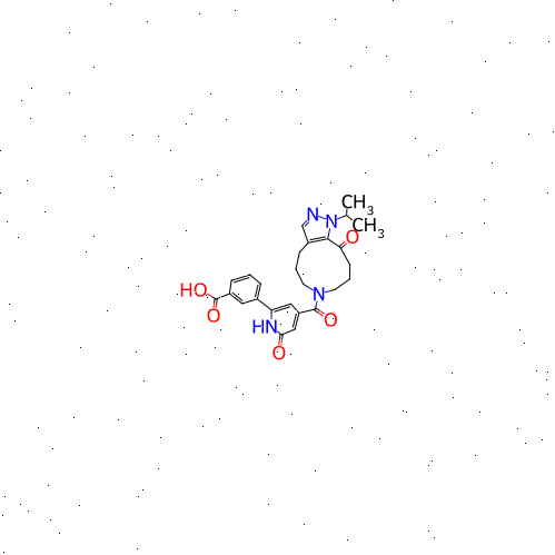 CC(C)n1ncc2c1C(=O)CCCN(C(=O)c1cc(-c3cccc(C(=O)O)c3)[nH]c(=O)c1)CCC2